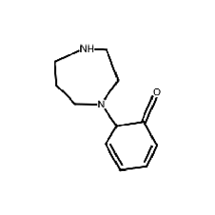 O=C1C=CC=CC1N1CCCNCC1